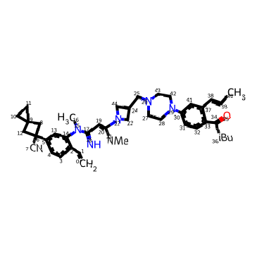 C=Cc1ccc(C2(C#N)CC3(CC3)C2)cc1N(C)C(=N)/C=C(\NC)N1CC(CN2CCN(c3ccc(C(=O)C(C)CC)c(/C=C/C)c3)CC2)C1